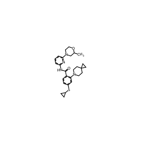 CC1CN(c2cccc(NC(=O)c3ccc(SC4CC4)cc3N3CCC4(CC3)CC4)n2)CCO1